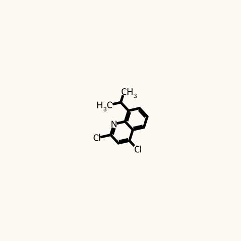 CC(C)c1cccc2c(Cl)cc(Cl)nc12